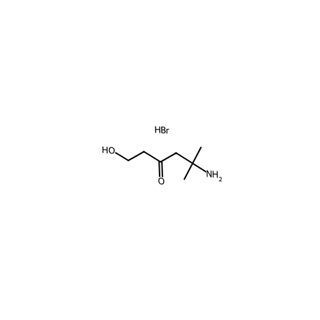 Br.CC(C)(N)CC(=O)CCO